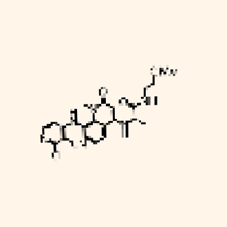 COCCNC(=O)[C@@H](C)Nc1cc(=O)n(C)c2c(Nc3ccnc(Cl)c3C#N)cccc12